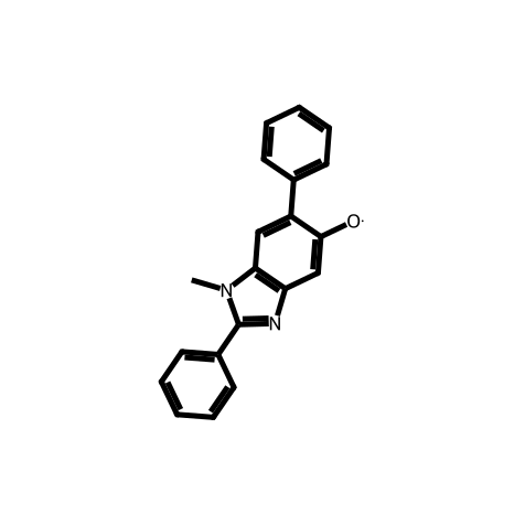 Cn1c(-c2ccccc2)nc2cc([O])c(-c3ccccc3)cc21